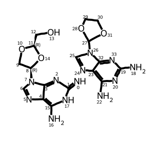 N=c1nc2c(ncn2[C@H]2CO[C@@H](CO)O2)c(N)[nH]1.Nc1nc(N)c2ncn(C3OCCO3)c2n1